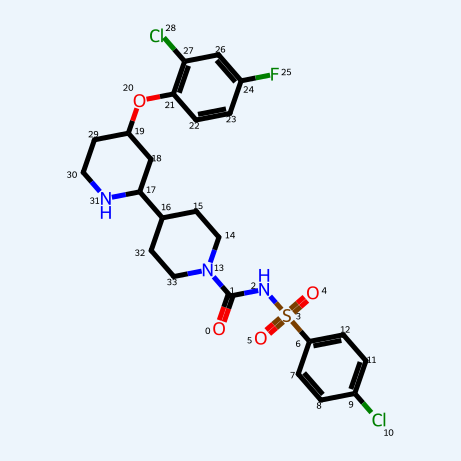 O=C(NS(=O)(=O)c1ccc(Cl)cc1)N1CCC(C2CC(Oc3ccc(F)cc3Cl)CCN2)CC1